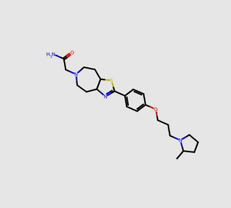 CC1CCCN1CCCOc1ccc(C2=NC3CCN(CC(N)=O)CCC3S2)cc1